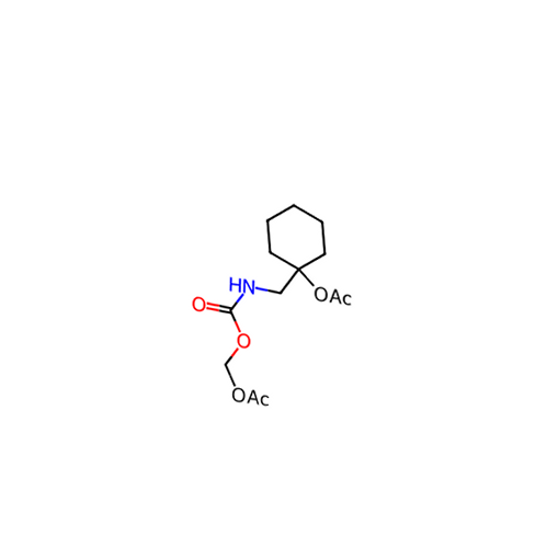 CC(=O)OCOC(=O)NCC1(OC(C)=O)CCCCC1